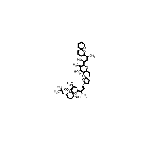 C=C1[C@@H](O)[C@@H]2O[C@@]3(CCC2O[C@@H]1[C@@H](O)C[C@H](C)C1CCC[C@]2(CCCCO2)O1)CC[C@H](/C=C/[C@@H](C)[C@@H]1CC(C)=C[C@@]2(O[C@H](C[C@@](C)(O)C(=O)O)CC[C@H]2O)O1)O3